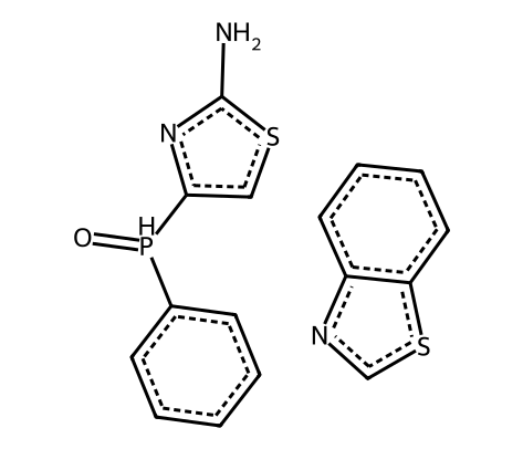 Nc1nc([PH](=O)c2ccccc2)cs1.c1ccc2scnc2c1